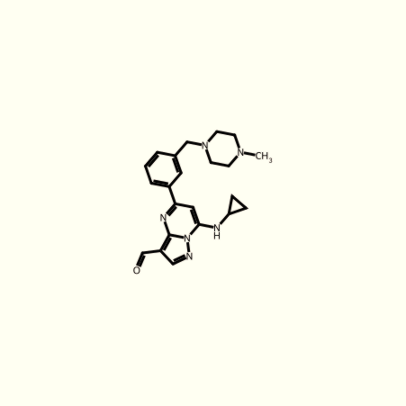 CN1CCN(Cc2cccc(-c3cc(NC4CC4)n4ncc(C=O)c4n3)c2)CC1